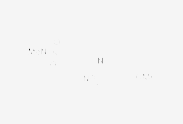 CNS(=O)(=O)c1ccc(N2CCC(COC)CC2)c([N+](=O)[O-])c1